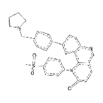 CS(=O)(=O)c1ccc(-n2c(=O)ccc3cnc4ccc(-c5ccc(CN6CCCC6)cc5)cc4c32)cc1